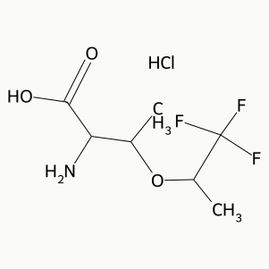 CC(OC(C)C(F)(F)F)C(N)C(=O)O.Cl